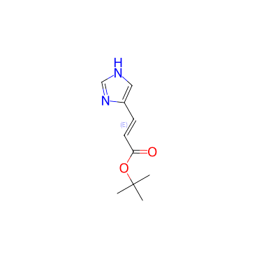 CC(C)(C)OC(=O)/C=C/c1c[nH]cn1